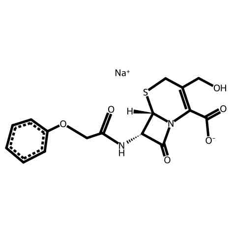 O=C(COc1ccccc1)N[C@H]1C(=O)N2C(C(=O)[O-])=C(CO)CS[C@@H]12.[Na+]